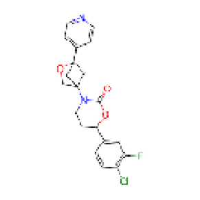 O=C1OC(c2ccc(Cl)c(F)c2)CCN1C12COC(c3ccncc3)(C1)C2